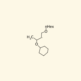 CCCCCCOC[CH]C(C)OC1CCCCC1